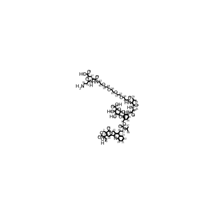 CC[C@@]1(O)C(=O)OCc2c1cc1n(c2=O)Cc2c-1nc1ccccc1c2CCN(C(=O)OCc1ccc(NC(=O)[C@H](C)NC(=O)[C@@H](NC(=O)CCOCCOCCOCCOCCNC(=O)[C@H](CCC(=O)O)NC(=O)CCN)C(C)C)c(O[C@@H]2O[C@H](C(=O)O)[C@@H](O)[C@H](O)[C@H]2O)c1)C(C)C